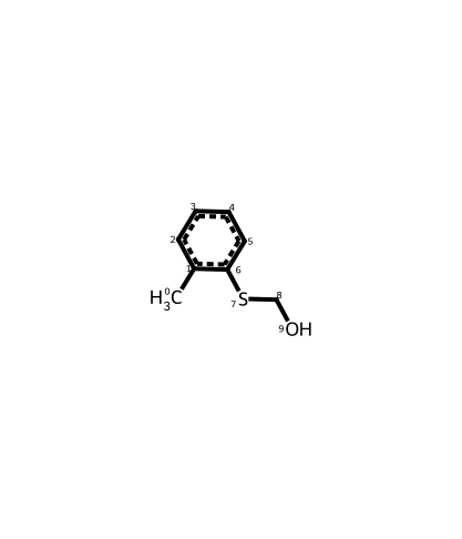 Cc1ccccc1SCO